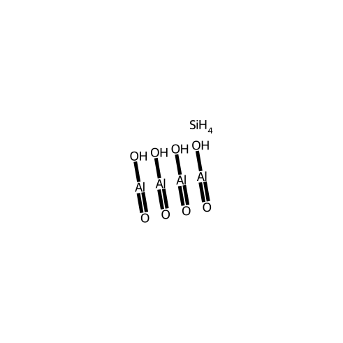 [O]=[Al][OH].[O]=[Al][OH].[O]=[Al][OH].[O]=[Al][OH].[SiH4]